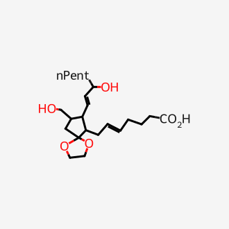 CCCCCC(O)/C=C/C1C(CO)CC2(OCCO2)C1C/C=C/CCCC(=O)O